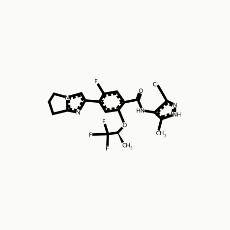 Cc1[nH]nc(Cl)c1NC(=O)c1cc(F)c(-c2cn3c(n2)CCC3)cc1O[C@@H](C)C(F)(F)F